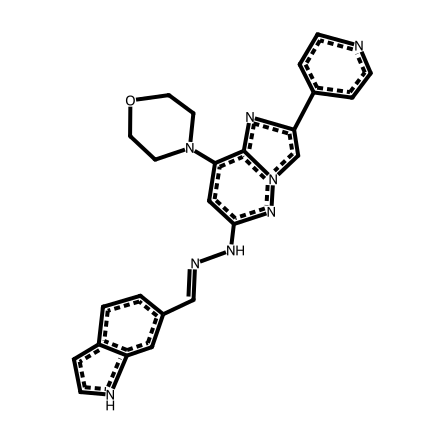 C(=NNc1cc(N2CCOCC2)c2nc(-c3ccncc3)cn2n1)c1ccc2cc[nH]c2c1